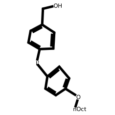 CCCCCCCCOc1ccc([I+]c2ccc(CO)cc2)cc1